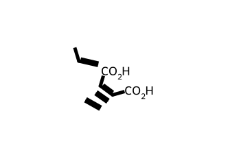 C=C.C=C.C=CC.O=C(O)/C=C\C(=O)O